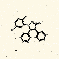 Cc1ccc(Br)cc1N1OC(=O)C(c2ccccc2)C1c1ccccc1